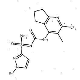 CCn1ccc([S@](N)(=O)=NC(=O)Nc2c(C)c(C(F)(F)F)nc3c2CCC3)n1